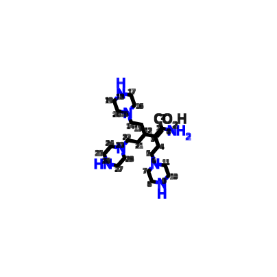 NC(C(=O)O)=C(CCN1CCNCC1)C(CCN1CCNCC1)CCN1CCNCC1